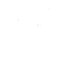 C=CC(=O)OC(C)(C)CCOC(C)(CC)c1ccccc1-c1ccccc1